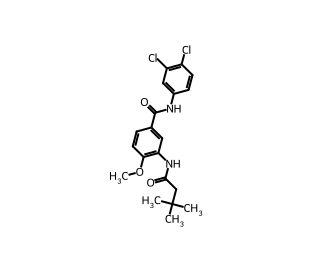 COc1ccc(C(=O)Nc2ccc(Cl)c(Cl)c2)cc1NC(=O)CC(C)(C)C